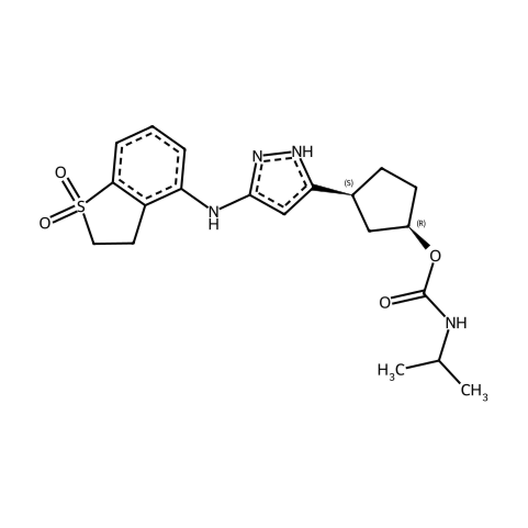 CC(C)NC(=O)O[C@@H]1CC[C@H](c2cc(Nc3cccc4c3CCS4(=O)=O)n[nH]2)C1